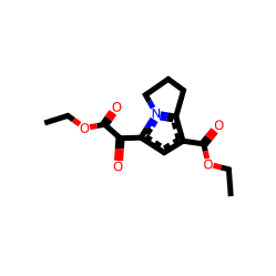 CCOC(=O)C(=O)c1cc(C(=O)OCC)c2n1CCC2